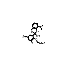 CCCC(CC)(Pc1c(C)cccc1P(C)C)c1cc(C(C)(C)C)cc(C)c1OCOC